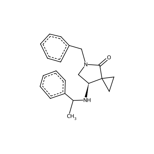 CC(N[C@H]1CN(Cc2ccccc2)C(=O)C12CC2)c1ccccc1